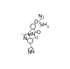 Cc1ccc2c(C3(NC(=O)c4cc(O[C@@H]([SiH3])[C@@H]5CCN5C)ccc4C)CC3)cc(-c3cnn(C)c3)cc2n1